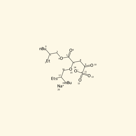 CCCCC(CC)COC(=O)C(CC(=O)S(=O)(=O)[O-])OCC(CC)CCCC.[Na+]